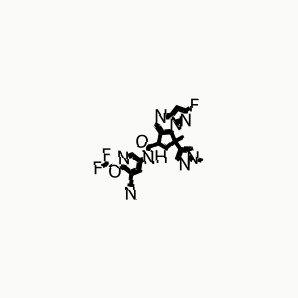 Cn1cc(C2(C)CC(C(=O)Nc3cnc(OC(F)F)c(C#N)c3)c3cnc4cc(F)nn4c32)cn1